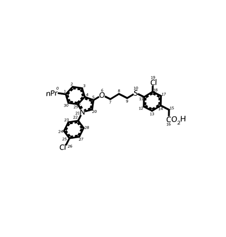 CCCc1ccc2c(OCCCSc3ccc(CC(=O)O)cc3Cl)cn(-c3ccc(Cl)cc3)c2c1